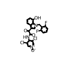 O=C(Nc1c(Cl)c[n+]([O-])cc1Cl)C(=O)c1cn(Cc2c(F)cccc2F)c2c(O)cccc12